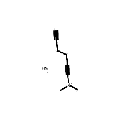 Br.C#CCCC#CN(C)C